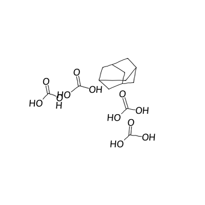 C1C2CC3CC1CC(C2)C3.O=C(O)O.O=C(O)O.O=C(O)O.O=C(O)O